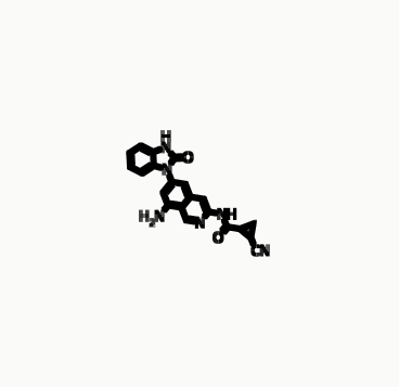 N#CC1CC1C(=O)Nc1cc2cc(-n3c(=O)[nH]c4ccccc43)cc(N)c2cn1